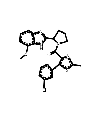 CSc1cccc2nc(C3CCCN3C(=O)c3nc(C)sc3-c3cccc(Cl)c3)[nH]c12